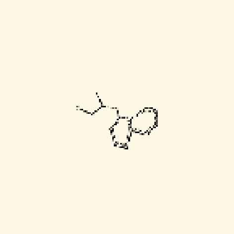 CC(CF)Cc1[c]ccc2ccccc12